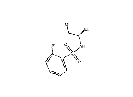 CC[C@H](CO)NS(=O)(=O)c1ccccc1Br